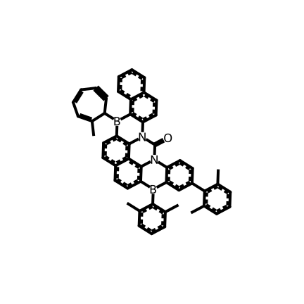 CC1=CC=CC#CC1B1c2ccc3ccc4c5c3c2N(C(=O)N5c2ccc(-c3c(C)cccc3C)cc2B4c2c(C)cccc2C)c2ccc3ccccc3c21